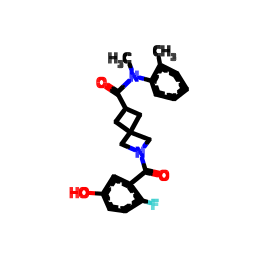 Cc1ccccc1N(C)C(=O)C1CC2(C1)CN(C(=O)c1cc(O)ccc1F)C2